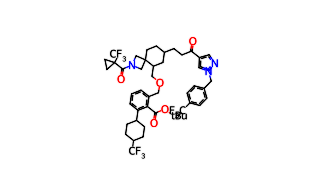 CC(C)(C)OC(=O)c1c(COCC2CC(CCC(=O)c3cnn(Cc4ccc(C(F)(F)F)cc4)c3)CCC23CN(C(=O)C2(C(F)(F)F)CC2)C3)cccc1C1CCC(C(F)(F)F)CC1